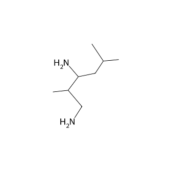 CC(C)CC(N)C(C)CN